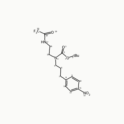 CC(C)(C)OC(=O)N(CCCc1ccc([N+](=O)[O-])cc1)CCNC(=O)C(F)(F)F